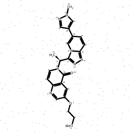 COCCOc1cnc2ccn([C@@H](C)c3nnc4ccc(-c5cnn(C)c5)cn34)c(=O)c2c1